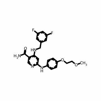 COCCOc1ccc(Nc2cc(NCc3cc(F)cc(F)c3)c(C(N)=O)cn2)cc1